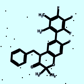 Cc1c(F)c(F)c(F)c(-c2cc3c(cc2F)OC(P)(P)C(=O)N3Cc2ccccc2)c1P